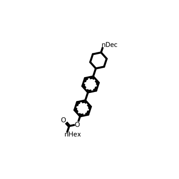 CCCCCCCCCCC1CCC(c2ccc(-c3ccc(OC(=O)CCCCCC)cc3)cc2)CC1